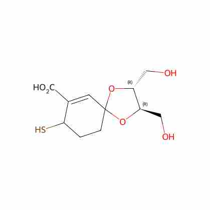 O=C(O)C1=CC2(CCC1S)O[C@H](CO)[C@@H](CO)O2